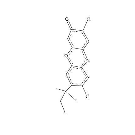 CCC(C)(C)c1cc2oc3cc(=O)c(Cl)cc-3nc2cc1Cl